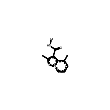 Cc1nn2cccc(C)c2c1C(=O)NN